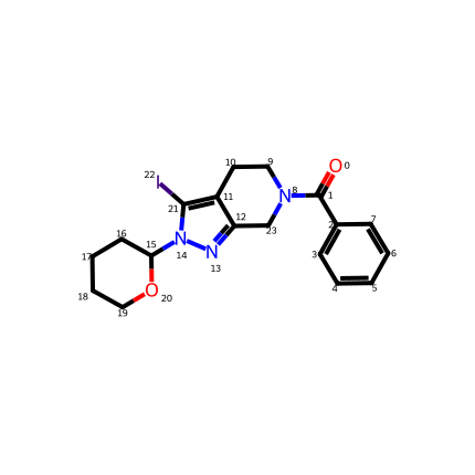 O=C(c1ccccc1)N1CCc2c(nn(C3CCCCO3)c2I)C1